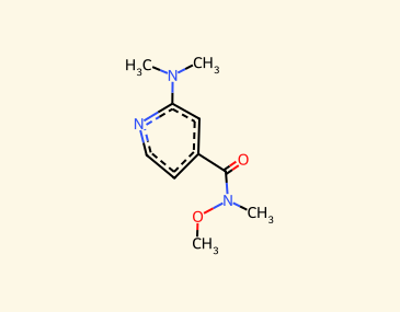 CON(C)C(=O)c1ccnc(N(C)C)c1